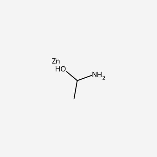 CC(N)O.[Zn]